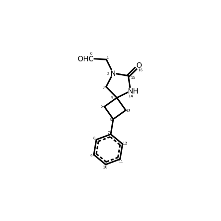 O=CCN1CC2(CC(c3ccccc3)C2)NC1=O